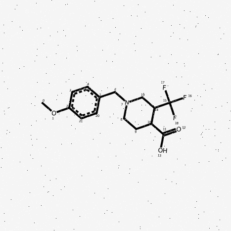 COc1ccc(CN2CCC(C(=O)O)C(C(F)(F)F)C2)cc1